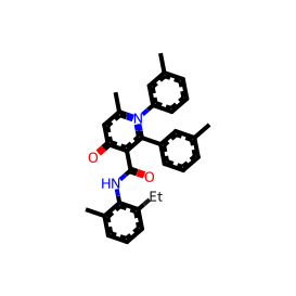 CCc1cccc(C)c1NC(=O)c1c(-c2cccc(C)c2)n(-c2cccc(C)c2)c(C)cc1=O